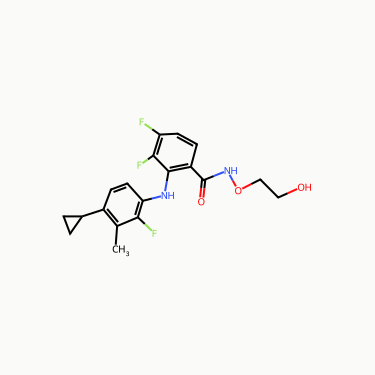 Cc1c(C2CC2)ccc(Nc2c(C(=O)NOCCO)ccc(F)c2F)c1F